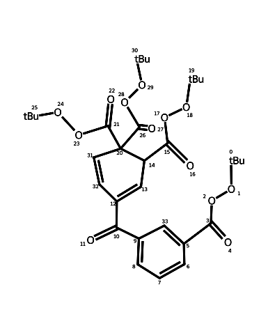 CC(C)(C)OOC(=O)c1cccc(C(=O)C2=CC(C(=O)OOC(C)(C)C)C(C(=O)OOC(C)(C)C)(C(=O)OOC(C)(C)C)C=C2)c1